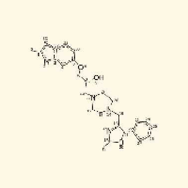 Cc1nc2cc(OC[C@H](O)CN3CCN(CC4=NC(C)O[C@H]4c4ccccc4)CC3)ccc2s1